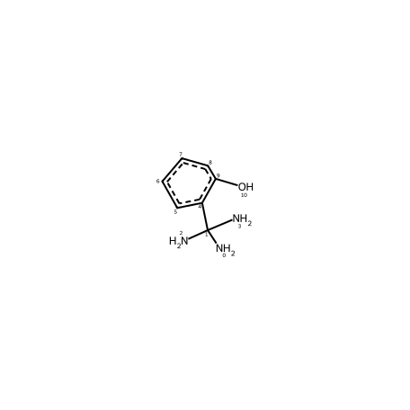 NC(N)(N)c1ccccc1O